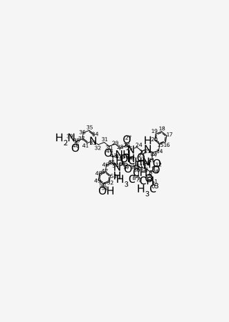 CCOC(=O)[C@H](CC(C)C)NC(=O)[C@H](Cc1ccccc1)NC(=O)CNC(=O)C(CCCCN1C=CCC(C(N)=O)=C1)NC(=O)[C@H](Cc1ccc(O)cc1)NC(=O)OC(C)(C)C